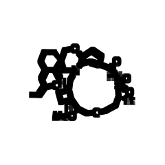 C=C1/C(=C\C(Cl)=C/C)CCC[C@]12COc1ccc3cc1N(C[C@@H]1CC[C@H]1[C@@H](OC)CCCC[C@@H](CC)S(=O)(=O)NC3=O)C2